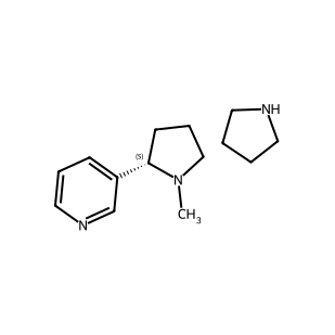 C1CCNC1.CN1CCC[C@H]1c1cccnc1